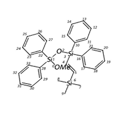 CO[Si](O[Si](C=C[Si](C)(C)C)(c1ccccc1)c1ccccc1)(c1ccccc1)c1ccccc1